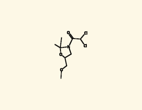 COCC1CN(C(=O)C(Cl)Cl)C(C)(C)O1